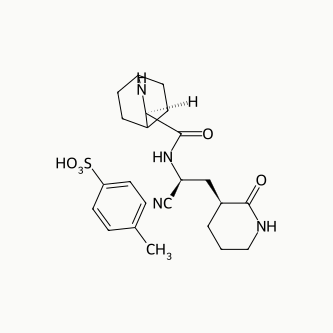 Cc1ccc(S(=O)(=O)O)cc1.N#C[C@H](C[C@@H]1CCCNC1=O)NC(=O)[C@@H]1NC2CCC1CC2